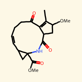 COC(=O)C12CC1/C=C\CCC(=O)C1=C(C)C(OC)CC1C(=O)N2